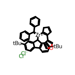 CC(C)(C)c1ccc2c(c1)[CH]([Zr+2]([C]1=C(c3ccoc3)C=CC1)=[C](c1ccccc1)c1ccccc1)c1cc(C(C)(C)C)ccc1-2.[Cl-].[Cl-]